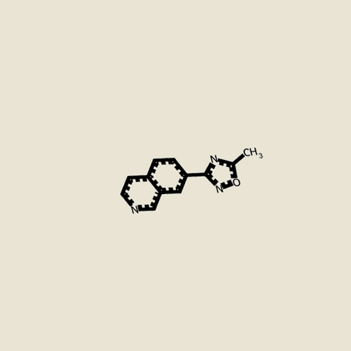 Cc1nc(-c2ccc3ccncc3c2)no1